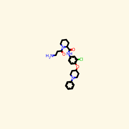 NCCC(=O)N1CCCCC1C(=O)Nc1ccc(OC2CCN(c3ccccc3)CC2)c(Cl)c1